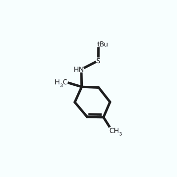 CC1=CCC(C)(NSC(C)(C)C)CC1